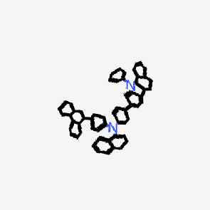 c1ccc(-n2c3cc(-c4ccc(N(c5ccc(-c6cc7ccccc7c7ccccc67)cc5)c5cccc6ccccc56)cc4)ccc3c3ccc4ccccc4c32)cc1